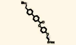 CCCCCC/C=C/Oc1ccc(OC(=O)c2ccc(-c3ccc(CC[C@@H](C)CC)cc3)cc2)cc1